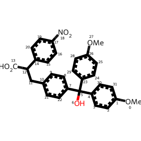 COc1ccc(C(O)(c2ccc(CC(C(=O)O)c3ccc([N+](=O)[O-])cc3)cc2)c2ccc(OC)cc2)cc1